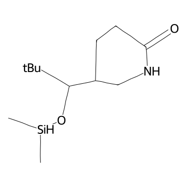 C[SiH](C)OC(C1CCC(=O)NC1)C(C)(C)C